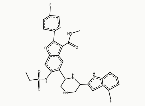 CCS(=O)(=O)Nc1cc2oc(-c3ccc(F)cc3)c(C(=O)NC)c2cc1C1CNCC(c2cc3c(F)cccc3[nH]2)N1